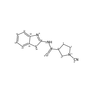 N#CN1CCC(C(=O)Nc2nc3ccccc3s2)C1